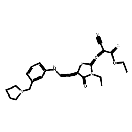 CCOC(=O)C(=C=c1sc(=C=CNc2cccc(CN3CCCC3)c2)c(=O)n1CC)C#N